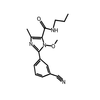 CCCNC(=O)c1c(C)nc(-c2cccc(C#N)c2)n1OC